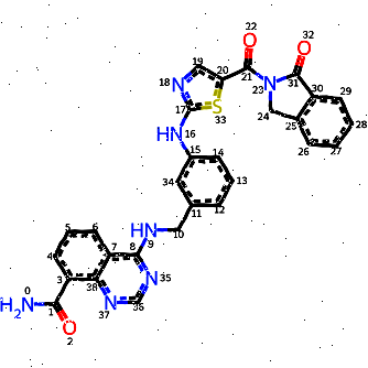 NC(=O)c1cccc2c(NCc3cccc(Nc4ncc(C(=O)N5Cc6ccccc6C5=O)s4)c3)ncnc12